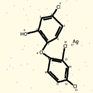 Oc1cc(Cl)ccc1Oc1ccc(Cl)cc1Cl.[Ag]